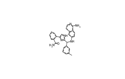 Cc1cccc(C(Nc2ccc3c(N)nccc3c2)c2nc(-c3ccccc3C(N)=O)c[nH]2)c1